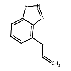 C=CCc1cccc2snnc12